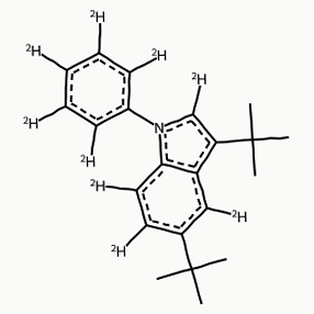 [2H]c1c([2H])c([2H])c(-n2c([2H])c(C(C)(C)C)c3c([2H])c(C(C)(C)C)c([2H])c([2H])c32)c([2H])c1[2H]